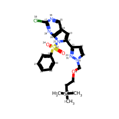 C[Si](C)(C)CCOCn1ccc(-c2cc3cnc(Cl)nc3n2S(=O)(=O)c2ccccc2)n1